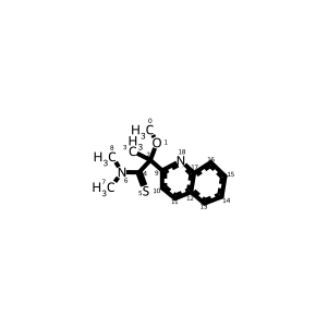 COC(C)(C(=S)N(C)C)c1ccc2ccccc2n1